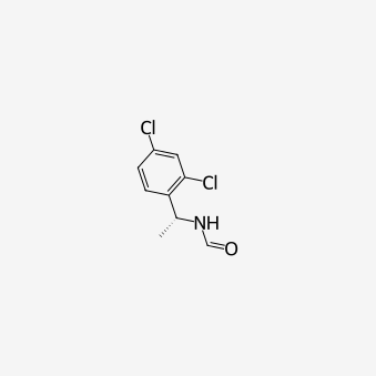 C[C@@H](NC=O)c1ccc(Cl)cc1Cl